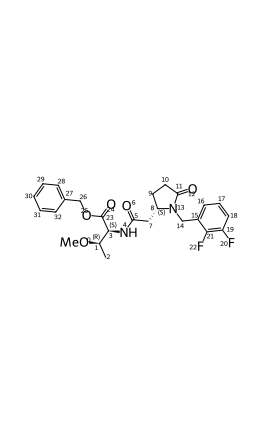 CO[C@H](C)[C@H](NC(=O)C[C@@H]1CCC(=O)N1Cc1cccc(F)c1F)C(=O)OCc1ccccc1